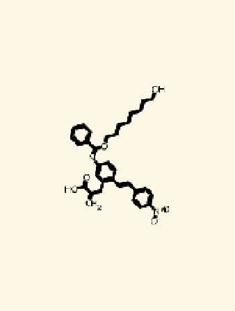 C=C(Cc1cc(N=C(OCCCCCCCCO)c2ccccc2)ccc1C=Cc1ccc([N+](=O)[O-])cc1)C(=O)O